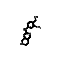 Cc1cc(Nc2ncc3c(n2)CNCC3)ccc1CC#N